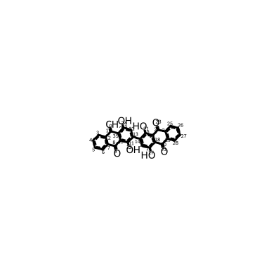 C=C1c2ccccc2C(=O)c2c(O)c(-c3cc(O)c4c(c3O)C(=O)c3ccccc3C4=O)cc(O)c21